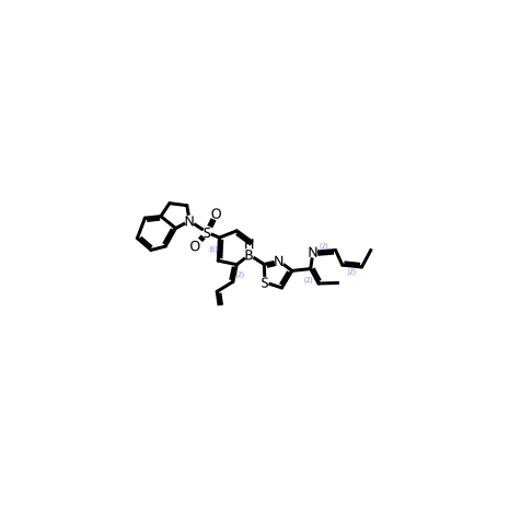 C=C/C=C(Bc1nc(C(=C/C)/N=C\C=C/C)cs1)\C=C(/C=C)S(=O)(=O)N1CCc2ccccc21